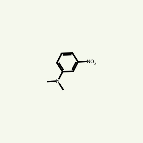 CN(C)c1c[c]cc([N+](=O)[O-])c1